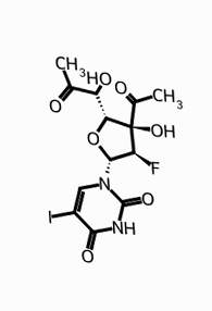 CC(=O)C(O)[C@H]1O[C@@H](n2cc(I)c(=O)[nH]c2=O)[C@H](F)[C@@]1(O)C(C)=O